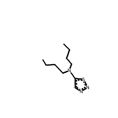 CCCCN(CCCC)c1[c]nns1